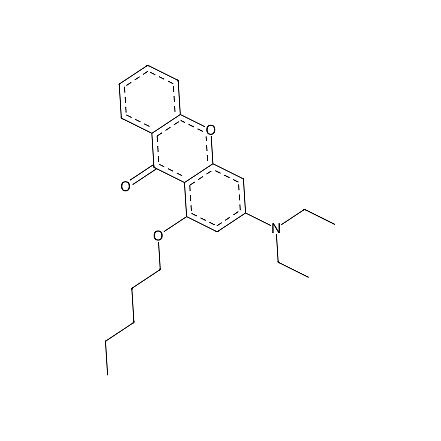 CCCCCOc1cc(N(CC)CC)cc2oc3ccccc3c(=O)c12